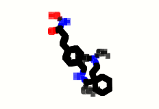 CN(C)CCC1([C@H](NCc2ccc(C=CC(=O)NO)cc2)C(=O)O)CCCCC1